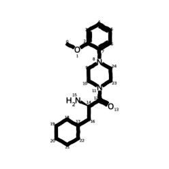 COc1ccccc1N1CCN(C(=O)[C@H](N)CC2CCCCC2)CC1